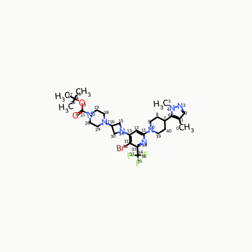 Cc1cnn(C)c1C1CCN(c2cc(N3CC(N4CCN(C(=O)OC(C)(C)C)CC4)C3)c(Br)c(C(F)(F)F)n2)CC1